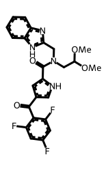 COC(CN(Cc1nc2ccccc2[nH]1)C(=O)c1cc(C(=O)c2c(F)cc(F)cc2F)c[nH]1)OC